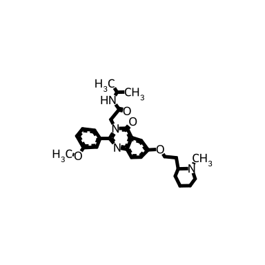 COc1cccc(-c2nc3ccc(OCCC4CCCCN4C)cc3c(=O)n2CC(=O)NC(C)C)c1